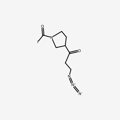 [N-]=[N+]=NCCC(=O)C1CCN(C(=O)I)C1